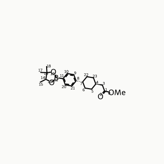 COC(=O)C[C@H]1CC[C@H](c2ccc(B3OC(C)C(C)(C)O3)cc2)CC1